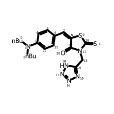 CCCCN(CCCC)c1ccc(C=C2SC(=S)N(Cc3nnn[nH]3)C2=O)cc1